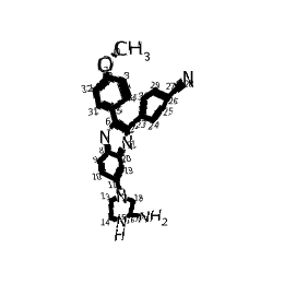 COc1ccc(-c2nc3ccc(N4CCNC(N)C4)cc3nc2-c2ccc(C#N)cc2)cc1